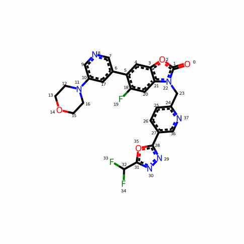 O=c1oc2cc(-c3cncc(N4CCOCC4)c3)c(F)cc2n1Cc1ccc(-c2nnc(C(F)F)o2)cn1